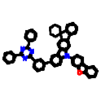 c1ccc(-c2nc(-c3ccccc3)nc(-c3cccc(-c4ccc5c(c4)c4cc6c(cc4n5-c4ccc5c(c4)oc4ccccc45)-c4ccccc4C64CCCCC4)c3)n2)cc1